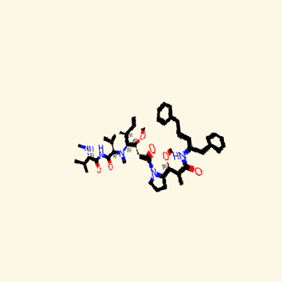 CC[C@H](C)[C@@H]([C@@H](CC(=O)N1CCCC1[C@H](OC)C(C)C(=O)NC(C=CCc1ccccc1)Cc1ccccc1)OC)N(C)[C@@H](C(=O)NC(=O)[C@@H](NC)C(C)C)C(C)C